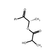 CC(C)C(=O)[C@H](C)OC(=O)C(C)O